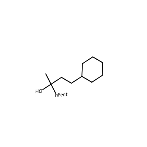 CCCCCC(C)(O)CCC1CCCCC1